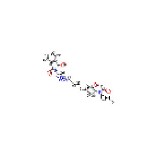 CN1C(=O)COc2cc(CCCCNCCN3C(=O)c4ccccc4C3=O)ccc21